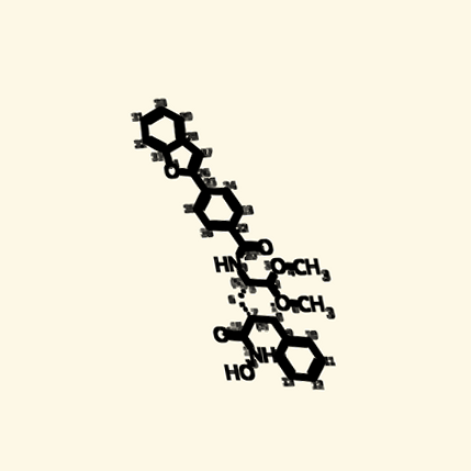 COC(OC)[C@H](C[C@H](Cc1ccccc1)C(=O)NO)NC(=O)c1ccc(-c2cc3ccccc3o2)cc1